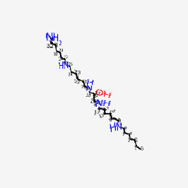 CCCCCCCNCCCCCCNCC(O)CNCCCCCCNCCCCCCN